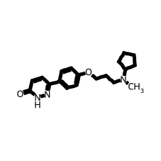 CN(CCCOc1ccc(-c2ccc(=O)[nH]n2)cc1)C1CCCC1